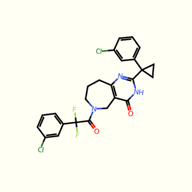 O=C(N1CCCc2nc(C3(c4cccc(Cl)c4)CC3)[nH]c(=O)c2C1)C(F)(F)c1cccc(Cl)c1